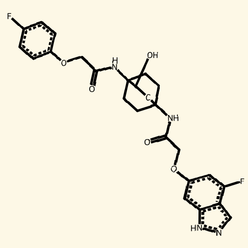 O=C(COc1cc(F)c2cn[nH]c2c1)NC12CCC(NC(=O)COc3ccc(F)cc3)(CC1)C(O)C2